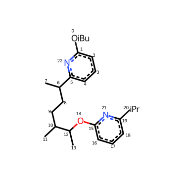 CC(C)COc1cccc(C(C)CCC(C)C(C)Oc2cccc(C(C)C)n2)n1